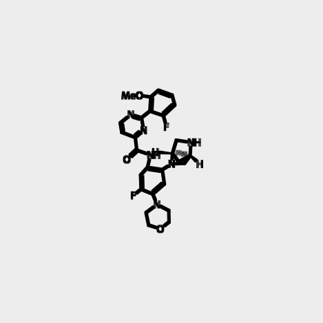 COc1cccc(F)c1-c1nccc(C(=O)Nc2cc(F)c(N3CCOCC3)cc2N2C[C@@H]3C[C@H]2CN3)n1